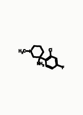 CN1CCCC(N)(c2ccc(F)cc2Cl)C1